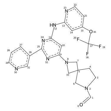 O=CN1CCC2(C1)CN(c1cc(Nc3cc(OC(F)(F)F)ccn3)nc(-c3cccnc3)n1)C2